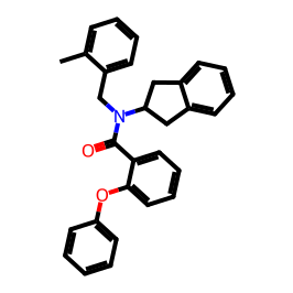 Cc1ccccc1CN(C(=O)c1ccccc1Oc1ccccc1)C1Cc2ccccc2C1